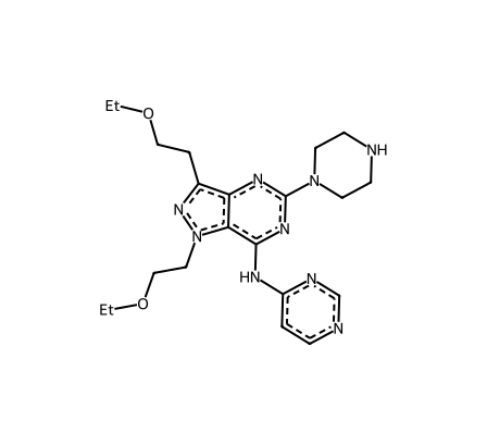 CCOCCc1nn(CCOCC)c2c(Nc3ccncn3)nc(N3CCNCC3)nc12